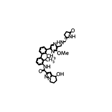 COc1nc(-c2cccc(-c3cccc(NC(=O)c4cc5n(n4)CCCC5O)c3C)c2C)cnc1CNC[C@@H]1CCC(=O)N1